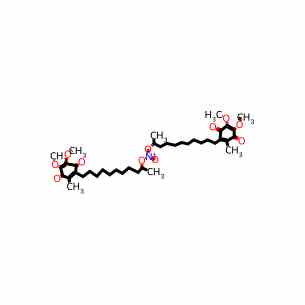 COC1=C(OC)C(=O)C(CCCCCCCCCC(C)O[N+](=O)OC(C)CCCCCCCCCC2=C(C)C(=O)C(OC)=C(OC)C2=O)=C(C)C1=O